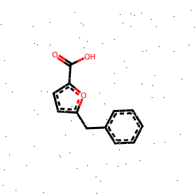 O=C(O)c1ccc(Cc2ccccc2)o1